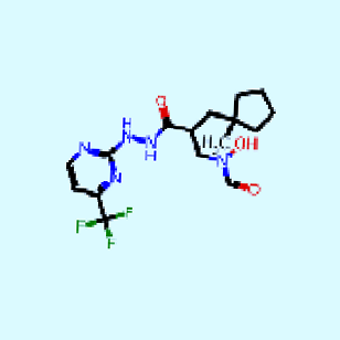 CC1(CC(CN(O)C=O)C(=O)NNc2nccc(C(F)(F)F)n2)CCCC1